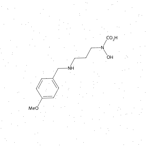 COc1ccc(CNCCCN(O)C(=O)O)cc1